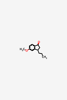 CCCC1CC(=O)c2ccc(OC)cc21